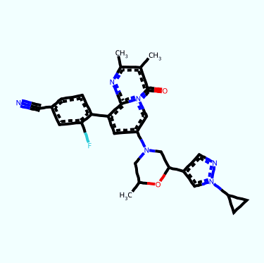 Cc1nc2c(-c3ccc(C#N)cc3F)cc(N3CC(C)OC(c4cnn(C5CC5)c4)C3)cn2c(=O)c1C